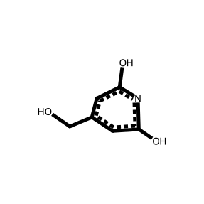 OCc1cc(O)nc(O)c1